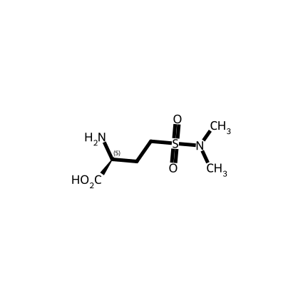 CN(C)S(=O)(=O)CC[C@H](N)C(=O)O